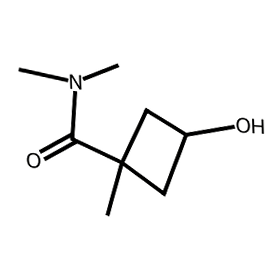 CN(C)C(=O)C1(C)CC(O)C1